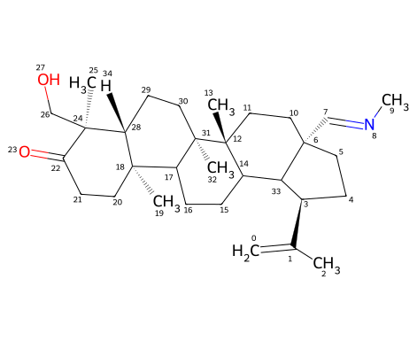 C=C(C)[C@@H]1CC[C@]2(/C=N/C)CC[C@]3(C)C(CCC4[C@@]5(C)CCC(=O)[C@@](C)(CO)[C@@H]5CC[C@]43C)C12